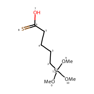 CO[Si](CCCCC(O)=S)(OC)OC